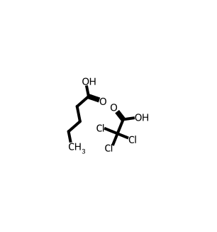 CCCCC(=O)O.O=C(O)C(Cl)(Cl)Cl